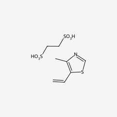 C=Cc1scnc1C.O=S(=O)(O)CCS(=O)(=O)O